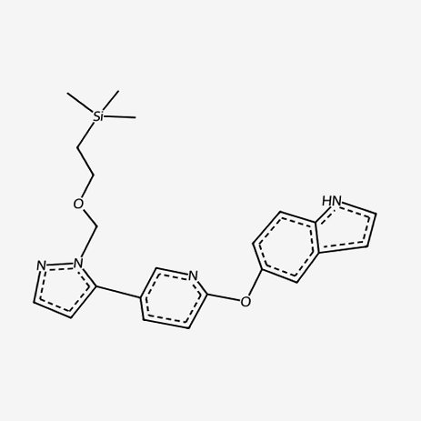 C[Si](C)(C)CCOCn1nccc1-c1ccc(Oc2ccc3[nH]ccc3c2)nc1